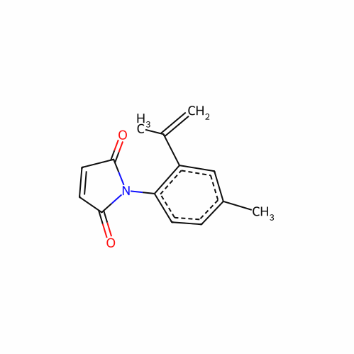 C=C(C)c1cc(C)ccc1N1C(=O)C=CC1=O